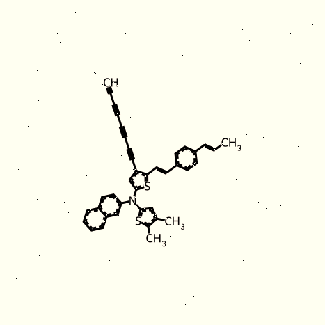 C#CC#CC#CC#Cc1cc(N(c2ccc3ccccc3c2)c2cc(C)c(C)s2)sc1C=Cc1ccc(C=CC)cc1